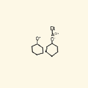 C[CH2][Al+2].[O-]C1CCCCC1.[O-]C1CCCCC1